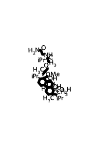 COC(C)(COC[C@](C)(NCC(N)=O)C(C)C)C[C@]1(CO)C2=CC[C@@]3(C)[C@H](C(=O)O)[C@@](C)([C@H](C)C(C)C)CC[C@]3(C)[C@H]2CC[C@H]1C(C)C